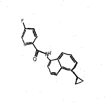 O=C(Nc1cccc2c(C3CC3)cccc12)c1ccc(F)cn1